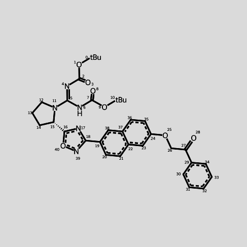 CC(C)(C)OC(=O)/N=C(\NC(=O)OC(C)(C)C)N1CCC[C@H]1c1nc(-c2ccc3cc(OCC(=O)c4ccccc4)ccc3c2)no1